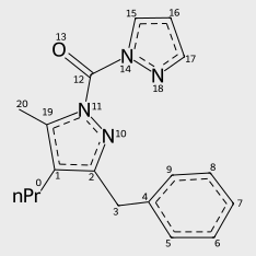 CCCc1c(Cc2ccccc2)nn(C(=O)n2cccn2)c1C